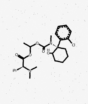 CC(OC(=O)[C@H](C(C)C)N(C)C)OC(=O)N(C)[C@]1(c2ccccc2Cl)CCCCC1O